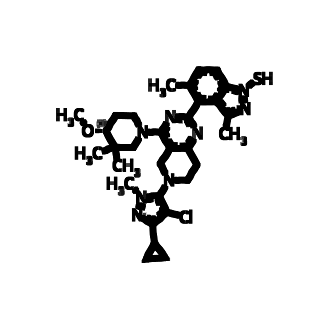 CO[C@@H]1CCN(c2nc(-c3c(C)ccc4c3c(C)nn4S)nc3c2CN(c2c(Cl)c(C4CC4)nn2C)CC3)CC1(C)C